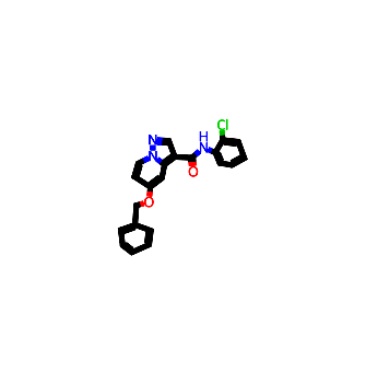 O=C(Nc1ccccc1Cl)c1cnn2ccc(OCc3ccccc3)cc12